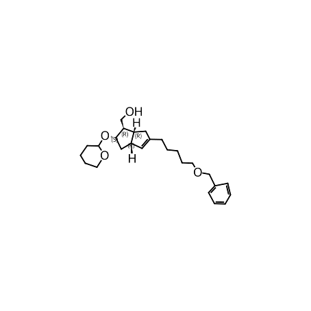 OC[C@H]1[C@@H]2CC(CCCCCOCc3ccccc3)=C[C@@H]2C[C@@H]1OC1CCCCO1